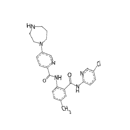 Cc1ccc(NC(=O)c2ccc(N3CCCNCC3)cn2)c(C(=O)Nc2ccc(Cl)cn2)c1